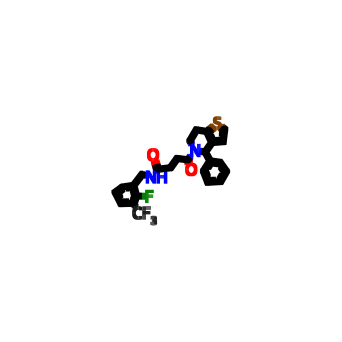 O=C(CCC(=O)N1CCc2sccc2C1c1ccccc1)NCc1cccc(C(F)(F)F)c1F